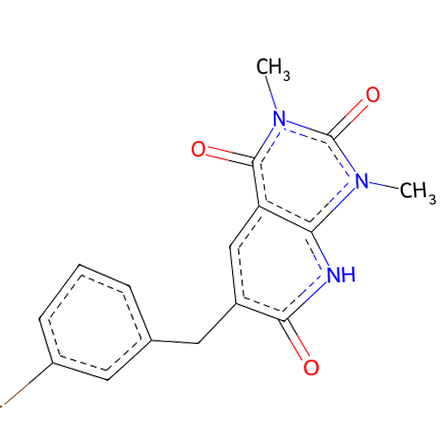 Cn1c(=O)c2cc(Cc3cccc(Br)c3)c(=O)[nH]c2n(C)c1=O